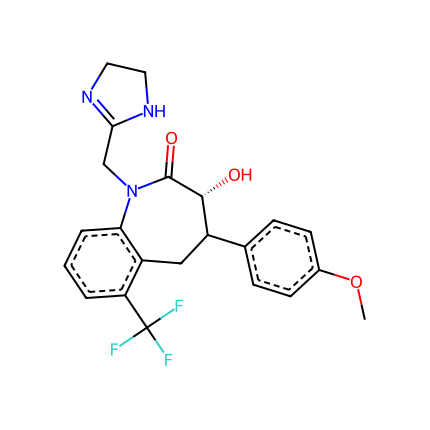 COc1ccc(C2Cc3c(cccc3C(F)(F)F)N(CC3=NCCN3)C(=O)[C@@H]2O)cc1